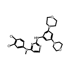 CN(c1ccc(Cl)c(Cl)c1)c1ccnc(Nc2cc(N3CCOCC3)cc(N3CCOCC3)c2)n1